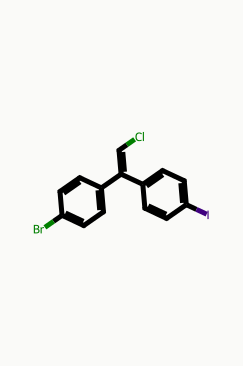 ClC=C(c1ccc(Br)cc1)c1ccc(I)cc1